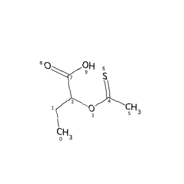 CCC(OC(C)=S)C(=O)O